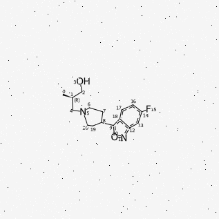 C[C@@H](CO)CN1CCC(c2onc3cc(F)ccc23)CC1